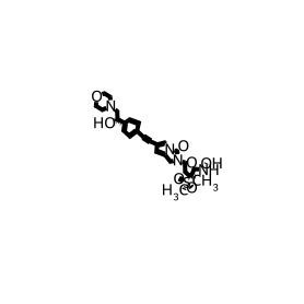 C[C@@](CCN1Cc2cc(C#Cc3ccc([C@@H](O)CN4CCOCC4)cc3)cn2C1=O)(C(=O)NO)S(C)(=O)=O